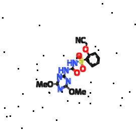 COc1nc(NC(=O)NS(=O)(=O)c2ccccc2OCC#N)nc(OC)n1